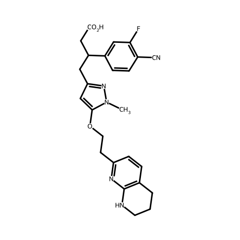 Cn1nc(CC(CC(=O)O)c2ccc(C#N)c(F)c2)cc1OCCc1ccc2c(n1)NCCC2